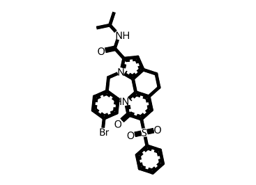 CC(C)NC(=O)c1cc2c(n1Cc1ccc(Br)cc1)-c1[nH]c(=O)c(S(=O)(=O)c3ccccc3)cc1CC2